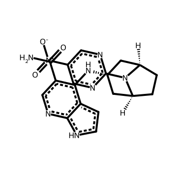 NC(=O)c1cnc2[nH]ccc2c1N[C@@H]1C[C@H]2CC[C@@H](C1)N2c1ncc([N+](=O)[O-])cn1